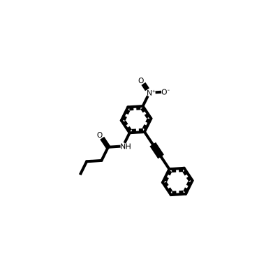 CCCC(=O)Nc1ccc([N+](=O)[O-])cc1C#Cc1ccccc1